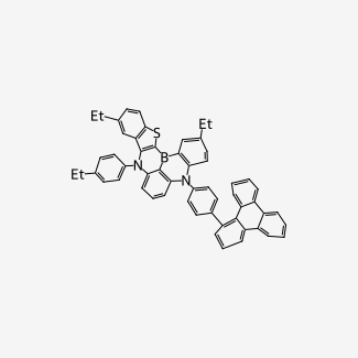 CCc1ccc(N2c3cccc4c3B(c3cc(CC)ccc3N4c3ccc(-c4cccc5c6ccccc6c6ccccc6c45)cc3)c3sc4ccc(CC)cc4c32)cc1